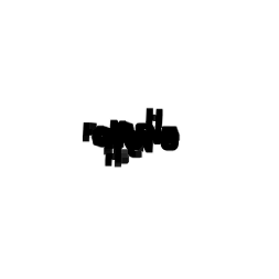 Cc1nc(NCC2CCCO2)sc1-c1ccnc(Nc2ccc(F)cc2)n1